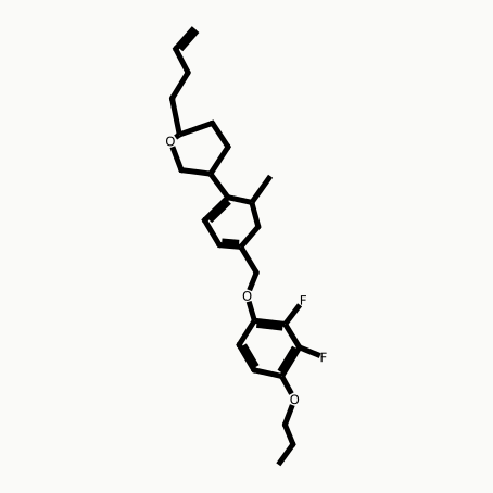 C=CCCC1CCC(C2=CC=C(COc3ccc(OCCC)c(F)c3F)CC2C)CO1